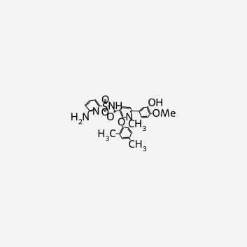 COc1ccc(-c2ccc(C(=O)NS(=O)(=O)c3cccc(N)n3)c(Oc3c(C)cc(C)cc3C)n2)cc1O